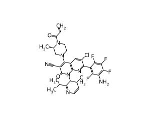 C=CC(=O)N1CCN(c2c(C#N)c(=O)n(C3C(C(C)C)=NC=CC3C)c3nc(-c4c(F)c(N)c(F)c(F)c4F)c(Cl)cc23)C[C@H]1C